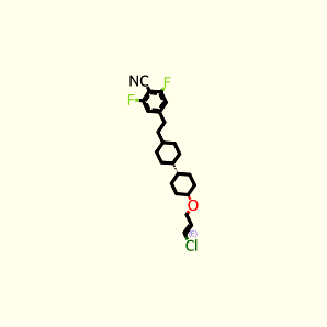 N#Cc1c(F)cc(CCC2CCC([C@H]3CC[C@H](OC/C=C/Cl)CC3)CC2)cc1F